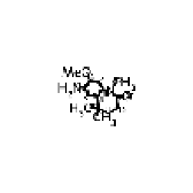 COc1cc2c(cc1N)C(C)(C)CCC(=O)N2C